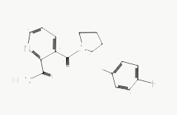 NC(=O)c1ncccc1C(=O)N1CCC[C@@H]1Oc1ccc(F)cc1